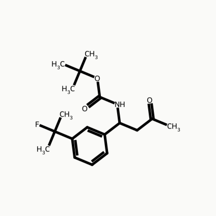 CC(=O)CC(NC(=O)OC(C)(C)C)c1cccc(C(C)(C)F)c1